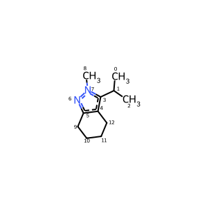 CC(C)c1c2c(nn1C)CCCC2